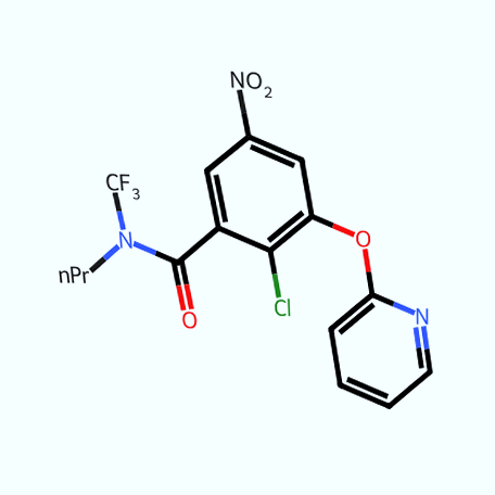 CCCN(C(=O)c1cc([N+](=O)[O-])cc(Oc2ccccn2)c1Cl)C(F)(F)F